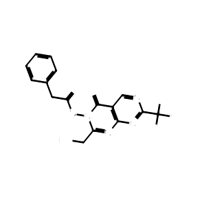 CCc1nc2nc(C(F)(F)F)ncc2c(=O)n1NC(=O)Cc1ccccc1